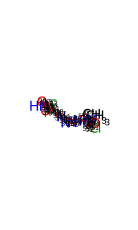 CC1(C)c2ccc(N3CCN(Cc4ccc(N5CCC(c6cc(F)c(C7CCC(=O)NC7=O)c(F)c6)CC5)cn4)CC3)cc2-n2c1nc(=O)c1c(Cl)cccc12